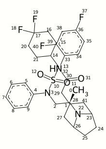 C[C@H](CN(c1ccccc1)S(=O)(=O)CC1CCC(F)(F)CC1)N1C2CCC1CC(CC(=O)Nc1ccc(F)cc1F)C2